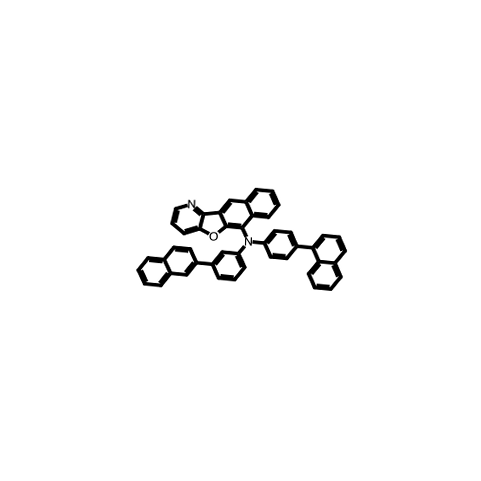 c1cc(-c2ccc3ccccc3c2)cc(N(c2ccc(-c3cccc4ccccc34)cc2)c2c3ccccc3cc3c2oc2cccnc23)c1